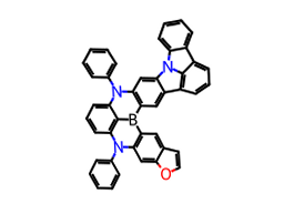 c1ccc(N2c3cc4occc4cc3B3c4cc5c6cccc7c8ccccc8n(c5cc4N(c4ccccc4)c4cccc2c43)c76)cc1